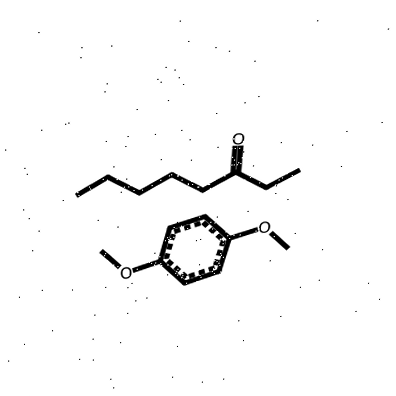 CCCCCC(=O)CC.COc1ccc(OC)cc1